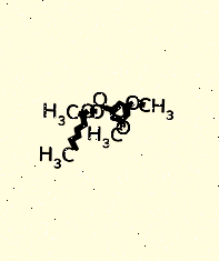 CCCCCC[C](C)OOC(=O)c1cc(OC)cc(OC)c1